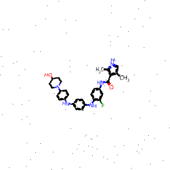 Cc1c[nH]c(C)c1C(=O)Nc1ccc(Nc2ccc(Nc3ccc(N4CCC(O)CC4)cc3)cc2)c(F)c1